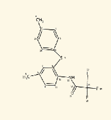 Cc1ccc(Sc2cc(C)ccc2NC(=O)C(F)(F)F)cc1